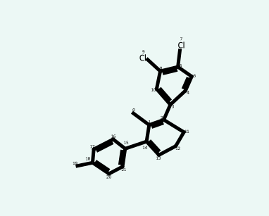 CC1=C(c2ccc(Cl)c(Cl)c2)[CH]CC=C1c1ccc(C)cc1